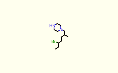 CCC(Br)CCC(C)CN1CCNCC1